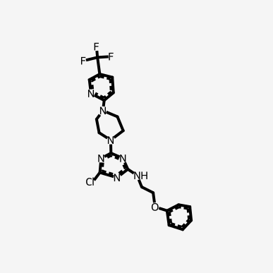 FC(F)(F)c1ccc(N2CCN(c3nc(Cl)nc(NCCOc4ccccc4)n3)CC2)nc1